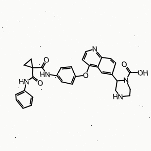 O=C(O)N1CCNCC1c1ccc2nccc(Oc3ccc(NC(=O)C4(C(=O)Nc5ccccc5)CC4)cc3)c2c1